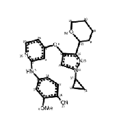 COc1cc(Nc2cc(Oc3cn(C4CC4)nc3C3CCCCO3)ccn2)ccc1C#N